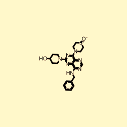 [O-][S+]1CCN(c2nc(N3CCC(O)CC3)nc3c(NCc4ccccc4)ncnc23)CC1